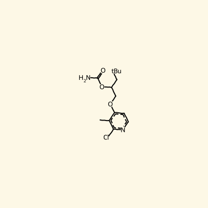 Cc1c(OCC(CC(C)(C)C)OC(N)=O)ccnc1Cl